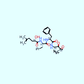 C=C(C)CC[C@H](O)C(=O)N[C@@H](CC(C)C)C(=O)N[C@@H](Cc1ccccc1)C(=O)N[C@@H](CC(C)C)C(=O)[C@@]1(C)CO1